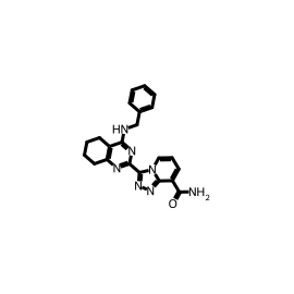 NC(=O)c1cccn2c(-c3nc4c(c(NCc5ccccc5)n3)CCCC4)nnc12